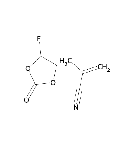 C=C(C)C#N.O=C1OCC(F)O1